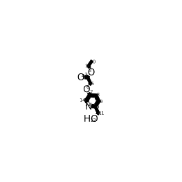 CCOC(=O)COc1ccc(CO)nc1